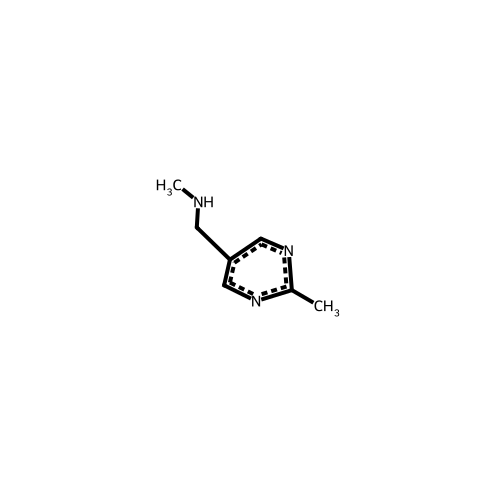 CNCc1cnc(C)nc1